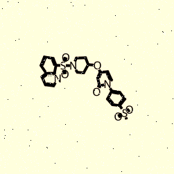 CS(=O)(=O)c1ccc(-n2ccc(OC3CCN(S(=O)(=O)c4cccc5cccnc45)CC3)cc2=O)cc1